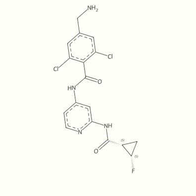 NCc1cc(Cl)c(C(=O)Nc2ccnc(NC(=O)[C@@H]3C[C@@H]3F)c2)c(Cl)c1